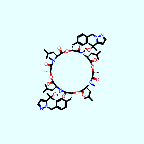 COC(C)(C)c1ccnn1Cc1ccc(C[C@H]2OC(=O)[C@H](CC(C)C)N(C)C(=O)[C@@H](C)OC(=O)[C@H](CC(C)C)N(C)C(=O)[C@@H](Cc3ccc(Cn4nccc4C(C)(C)OC)cc3)OC(=O)[C@H](CC(C)C)N(C)C(=O)[C@@H](C)OC(=O)[C@H](CC(C)C)N(C)C2=O)cc1